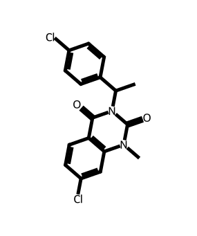 CC(c1ccc(Cl)cc1)n1c(=O)c2ccc(Cl)cc2n(C)c1=O